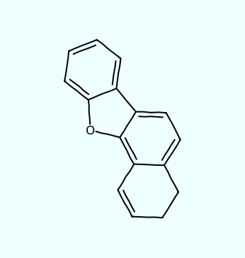 C1=Cc2c(ccc3c2oc2ccccc23)CC1